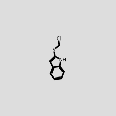 ClCSc1cc2ccccc2[nH]1